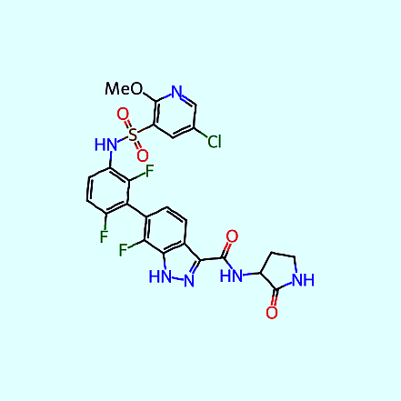 COc1ncc(Cl)cc1S(=O)(=O)Nc1ccc(F)c(-c2ccc3c(C(=O)NC4CCNC4=O)n[nH]c3c2F)c1F